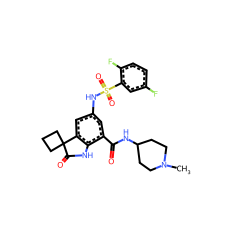 CN1CCC(NC(=O)c2cc(NS(=O)(=O)c3cc(F)ccc3F)cc3c2NC(=O)C32CCC2)CC1